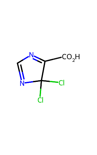 O=C(O)C1=NC=NC1(Cl)Cl